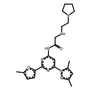 Cc1cc(C)n(-c2cc(NC(=O)CNCCN3CCCC3)nc(-c3ccc(C)o3)n2)n1